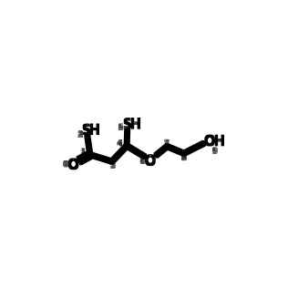 O=C(S)CC(S)OCCO